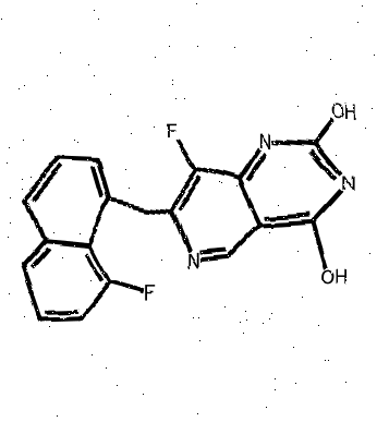 Oc1nc(O)c2cnc(-c3cccc4cccc(F)c34)c(F)c2n1